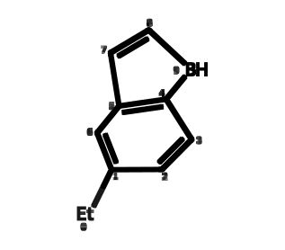 CCc1ccc2c(c1)C=CB2